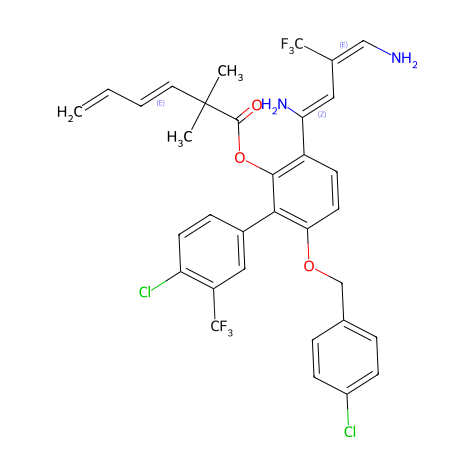 C=C/C=C/C(C)(C)C(=O)Oc1c(/C(N)=C/C(=C\N)C(F)(F)F)ccc(OCc2ccc(Cl)cc2)c1-c1ccc(Cl)c(C(F)(F)F)c1